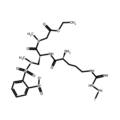 CCOC(=O)CN(C)C(=O)[C@H](CN(C)S(=O)(=O)c1ccccc1[N+](=O)[O-])NC(=O)[C@@H](N)CCCNC(=N)NPI